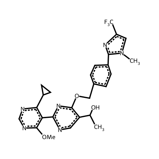 COc1ncnc(C2CC2)c1-c1ncc(C(C)O)c(OCc2ccc(-c3nc(C(F)(F)F)cn3C)cc2)n1